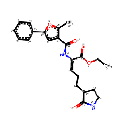 CCOC(=O)C(=CCC[C@H]1CCNC1=O)NC(=O)c1cc(-c2ccccc2)oc1C